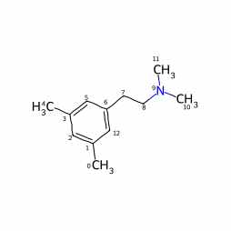 Cc1cc(C)cc(CCN(C)C)c1